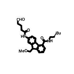 CC[C@H](C)CCNC(=O)c1cccc2c1-c1ccc(NC(=O)CCCC=O)cc1C2COC